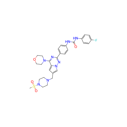 CS(=O)(=O)N1CCN(Cc2cc3c(N4CCOCC4)nc(-c4ccc(NC(=O)Nc5ccc(F)cc5)cc4)nn3c2)CC1